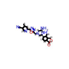 Cc1cc(-c2nnc(CN3C[C@@H](c4ccc5c(c4C)COC5=O)N[C@@H](N)C3)o2)ncc1C#N